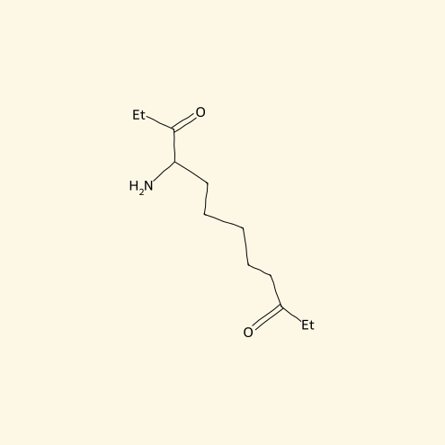 CCC(=O)CCCCCC(N)C(=O)CC